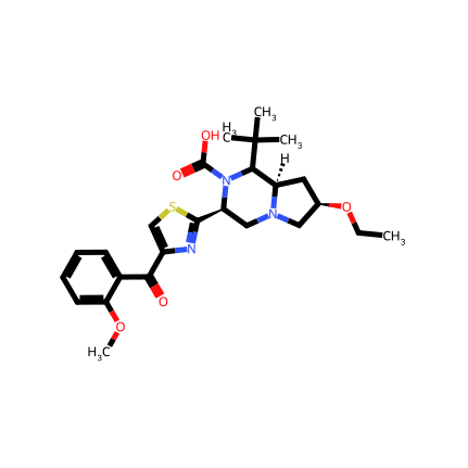 CCO[C@@H]1C[C@@H]2C(C(C)(C)C)N(C(=O)O)[C@H](c3nc(C(=O)c4ccccc4OC)cs3)CN2C1